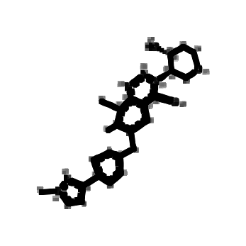 Cc1c(Cc2ccc(-c3ccn(C)n3)cc2)cc2c(=O)n([C@@H]3COCC[C@H]3O)nnc2c1C